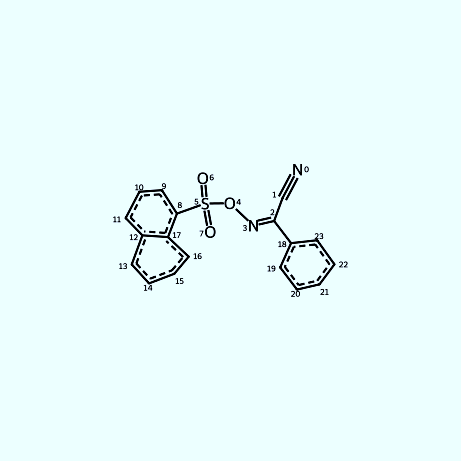 N#CC(=NOS(=O)(=O)c1cccc2ccccc12)c1ccccc1